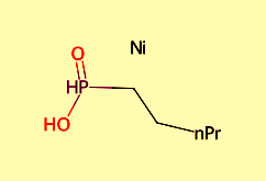 CCCCC[PH](=O)O.[Ni]